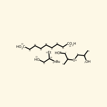 CC(O)COC(C)CO.CCCCC(CC)CO.O=C(O)CCCCCCCC(=O)O